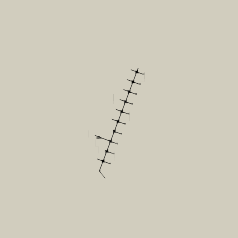 [CH2]CC(F)(F)C(F)(F)C(F)(C(F)(F)F)C(F)(F)C(F)(F)C(F)(F)C(F)(F)C(F)(F)C(F)(F)C(F)(F)F